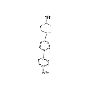 CCCc1ccc(-c2ccc(C3CCC(CCC)CC3)cc2)cc1